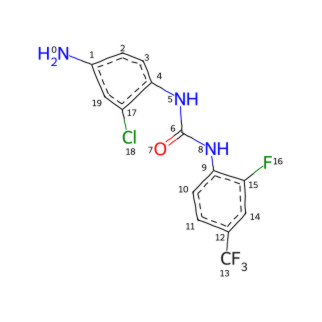 Nc1ccc(NC(=O)Nc2ccc(C(F)(F)F)cc2F)c(Cl)c1